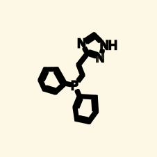 c1ccc(P(CCc2nc[nH]n2)c2ccccc2)cc1